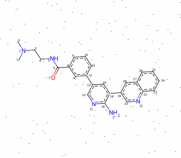 CN(C)CCNC(=O)c1cccc(-c2cnc(N)c(-c3cnc4ccccc4c3)c2)c1